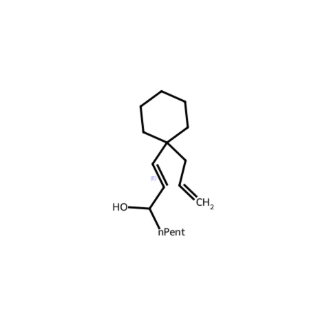 C=CCC1(/C=C/C(O)CCCCC)CCCCC1